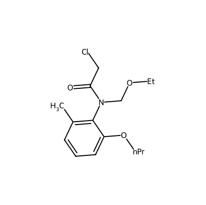 CCCOc1cccc(C)c1N(COCC)C(=O)CCl